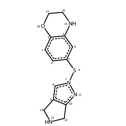 c1cc2c(cc1Sn1cc3c(n1)CNC3)NCCO2